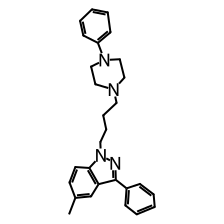 Cc1ccc2c(c1)c(-c1ccccc1)nn2CCCCN1CCN(c2ccccc2)CC1